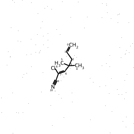 C=CCC(C)(C)/C=C(\Cl)C#N